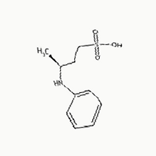 C[C@@H](CCS(=O)(=O)O)Nc1ccccc1